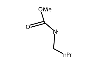 CCCC[N]C(=O)OC